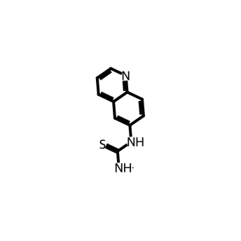 [NH]C(=S)Nc1ccc2ncccc2c1